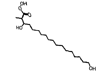 CC(C(=O)OO)C(O)CCCCCCCCCCCCCCCO